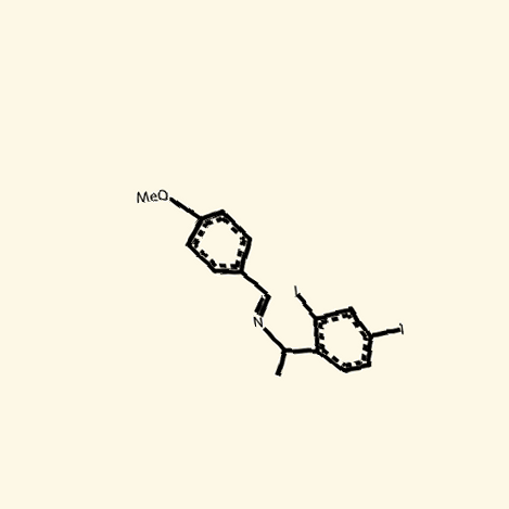 COc1ccc(C=NC(C)c2ccc(I)cc2I)cc1